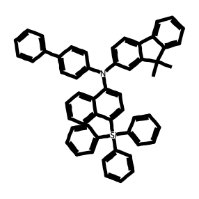 CC1(C)c2ccccc2-c2ccc(N(c3ccc(-c4ccccc4)cc3)c3ccc([Si](c4ccccc4)(c4ccccc4)c4ccccc4)c4ccccc34)cc21